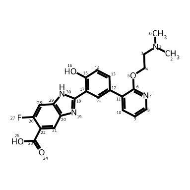 CN(C)CCOc1ncccc1-c1ccc(O)c(-c2nc3cc(C(=O)O)c(F)cc3[nH]2)c1